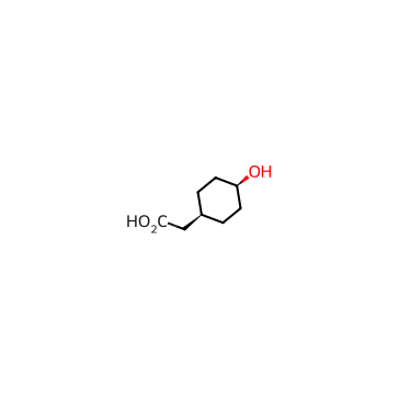 O=C(O)C[C@H]1CC[C@@H](O)CC1